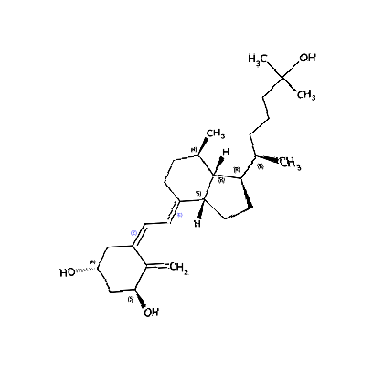 C=C1/C(=C\C=C2/CC[C@@H](C)[C@@H]3[C@@H]([C@H](C)CCCC(C)(C)O)CC[C@H]23)C[C@@H](O)C[C@@H]1O